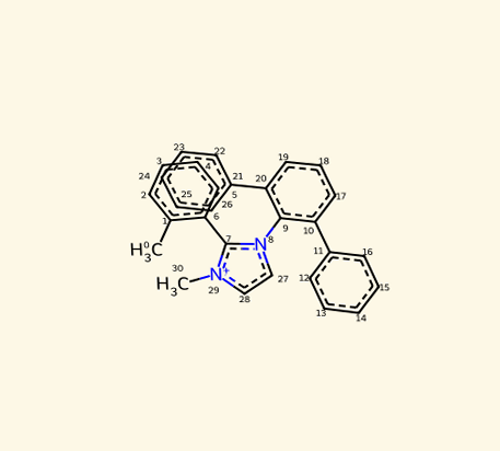 Cc1ccccc1-c1n(-c2c(-c3ccccc3)cccc2-c2ccccc2)cc[n+]1C